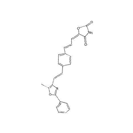 Cc1oc(-c2ccccc2)nc1C=Cc1ccc(C=CC=C2OC(=O)NC2=O)cc1